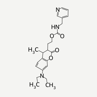 CCN(CC)c1ccc2c(c1)OC(=O)C(CCOC(=O)NCc1cccnc1)C2C